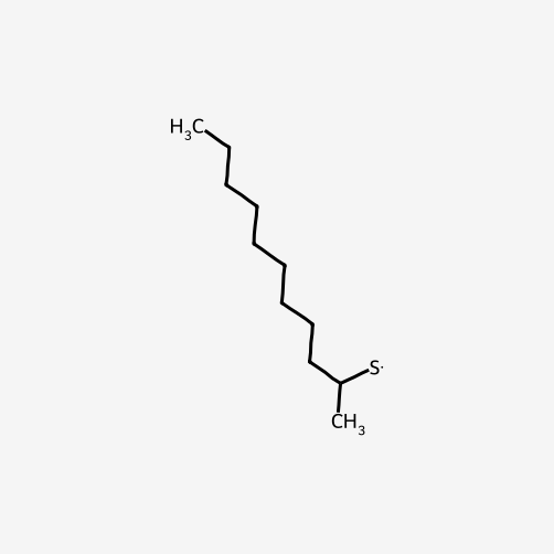 CCCCCCCCCC(C)[S]